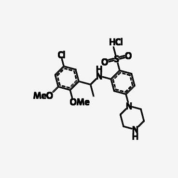 COc1cc(Cl)cc(C(C)Nc2cc(N3CCNCC3)ccc2S(C)(=O)=O)c1OC.Cl